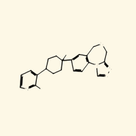 Clc1ncccc1C1CCC(Cl)(c2ccc3c(c2)CNCc2nncn2-3)CC1